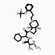 CN[C@@H](C)C(=O)NC(C(=O)N1CC[C@H]2CCN(CCc3ccccc3OC(F)(F)F)C[C@H]21)C1CCCCC1